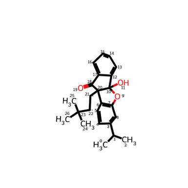 CC(C)c1ccc2c(c1)OC1(O)c3ccccc3C(=O)C21[CH][CH]C(C)(C)C